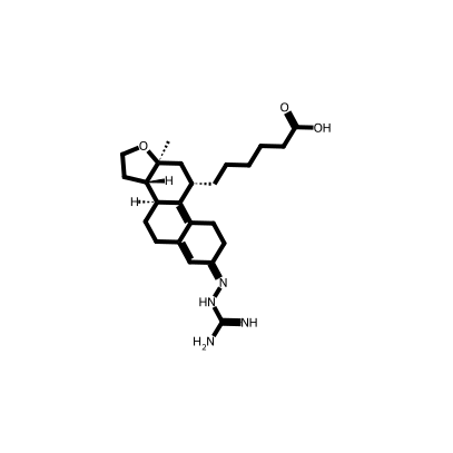 C[C@]12C[C@H](CCCCCC(=O)O)C3=C4CCC(=NNC(=N)N)C=C4CC[C@H]3[C@@H]1CCO2